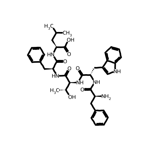 CC(C)C[C@H](NC(=O)[C@H](Cc1ccccc1)NC(=O)[C@@H](NC(=O)[C@H](Cc1c[nH]c2ccccc12)NC(=O)[C@@H](N)Cc1ccccc1)[C@@H](C)O)C(=O)O